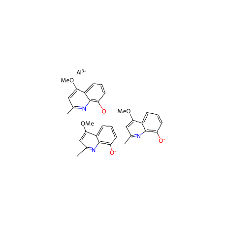 COc1cc(C)nc2c([O-])cccc12.COc1cc(C)nc2c([O-])cccc12.COc1cc(C)nc2c([O-])cccc12.[Al+3]